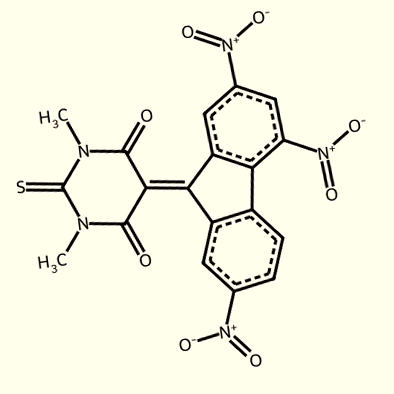 CN1C(=O)C(=C2c3cc([N+](=O)[O-])ccc3-c3c2cc([N+](=O)[O-])cc3[N+](=O)[O-])C(=O)N(C)C1=S